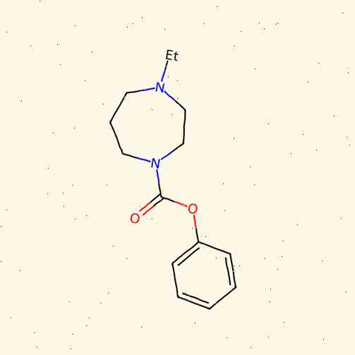 CCN1CCCN(C(=O)Oc2ccccc2)CC1